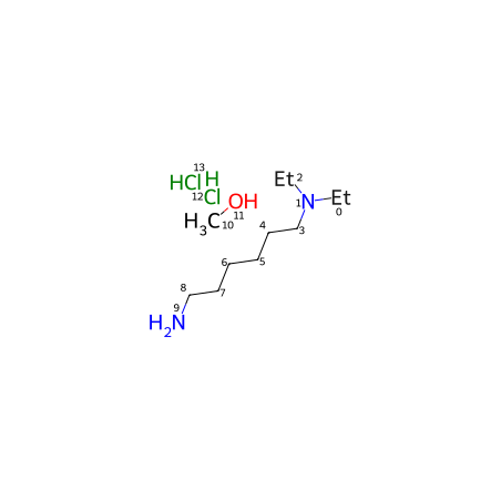 CCN(CC)CCCCCCN.CO.Cl.Cl